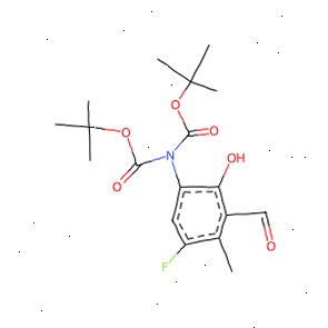 Cc1c(F)cc(N(C(=O)OC(C)(C)C)C(=O)OC(C)(C)C)c(O)c1C=O